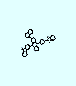 CC1(C)c2ccccc2-c2cc(-c3c4ccccc4c(-c4ccc(-c5nc6ccccc6s5)cc4)c4ccc(-c5cccc6ccccc56)cc34)ccc21